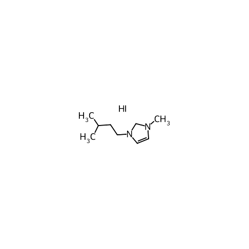 CC(C)CCN1C=CN(C)C1.I